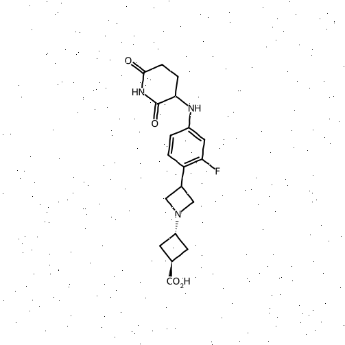 O=C1CCC(Nc2ccc(C3CN([C@H]4C[C@H](C(=O)O)C4)C3)c(F)c2)C(=O)N1